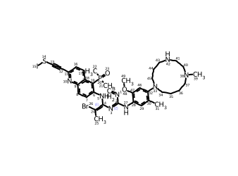 C=N/C(=N\C(Nc1ccc2nc(C#CSI)ccc2c1P(C)(C)=O)=C(/C)Br)Nc1cc(C)c(N2CCCCN(C)CCNCCC2)cc1OC